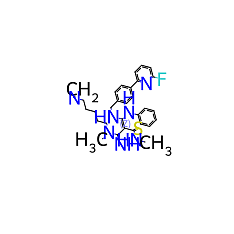 C=NCCCCCN(C)C(=N)/C(C(=S)NC)=C(\NCc1ccc(-c2cccc(F)n2)cc1)Nc1ccccc1